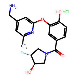 Cl.NCc1cc(Oc2cc(C(=O)N3C[C@@H](O)[C@H](F)C3)ccc2O)nc(C(F)(F)F)c1